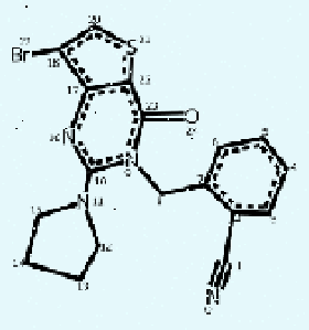 N#Cc1ccccc1Cn1c(N2CCCC2)nc2c(Br)csc2c1=O